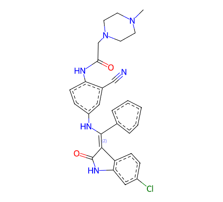 CN1CCN(CC(=O)Nc2ccc(N/C(=C3\C(=O)Nc4cc(Cl)ccc43)c3ccccc3)cc2C#N)CC1